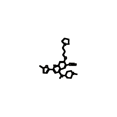 COc1cc2c(N(C)C3CCN(C)CC3)cc(-c3ccc(C)o3)nc2cc1OCCCN1CCCC1